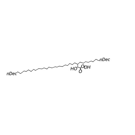 CCCCCCCCCCCCCCCCCCCCCCCCCCCCCCCCCC(CCCCCCCCCCCCCCCCCC)C(O)C(=O)OO